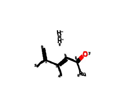 C=C(C)C(C)=C[C](=O)[Ru].[H-].[H-]